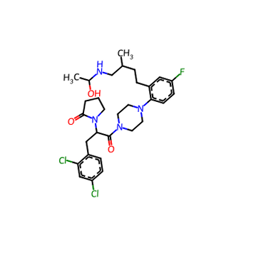 CC(CCc1cc(F)ccc1N1CCN(C(=O)C(Cc2ccc(Cl)cc2Cl)N2CCCC2=O)CC1)CNC(C)O